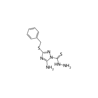 NNC(=S)n1nc(SCc2ccccc2)nc1N